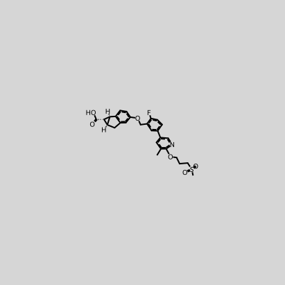 Cc1cc(-c2ccc(F)c(COc3ccc4c(c3)C[C@H]3[C@H](C(=O)O)[C@@H]43)c2)cnc1OCCCS(C)(=O)=O